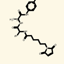 CC(C)C(NC(=O)CCCCCN1C(=O)C=CC1=O)C(=O)N[C@@H](C)C(=O)Nc1ccc(CC(C)(C)C)cc1